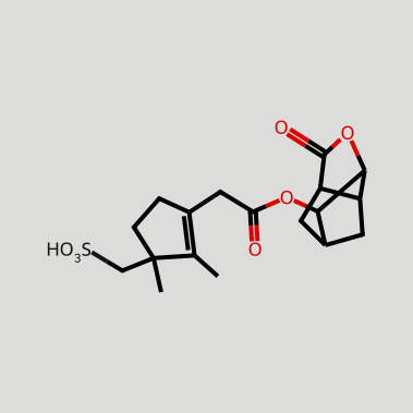 CC1=C(CC(=O)OC2C3CC4C(=O)OC2C4C3)CCC1(C)CS(=O)(=O)O